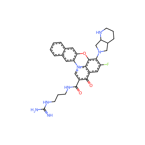 N=C(N)NCCCNC(=O)c1cn2c3c(c(N4CC5CCCNC5C4)c(F)cc3c1=O)Oc1cc3ccccc3cc1-2